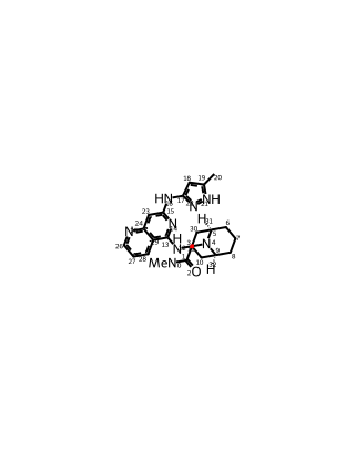 CNC(=O)CN1[C@@H]2CCC[C@H]1CC(Nc1nc(Nc3cc(C)[nH]n3)cc3ncccc13)C2